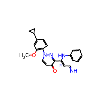 COc1cc(C2CC2)ccc1-n1ccc(=O)c(/C(=C/C=N)Nc2ccccc2)n1